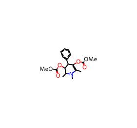 COC(=O)OC1=C(C)N(C)C(C)C(OC(=O)OC)C1c1ccccc1